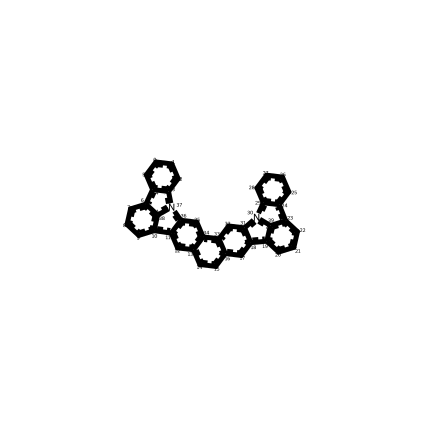 c1ccc2c(c1)c1cccc3c4cc5ccc6cc7c8cccc9c%10ccccc%10n(c7cc6c5cc4n2c13)c98